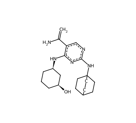 C=C(N)c1cnc(NC23CCC(CC2)CC3)nc1N[C@@H]1CCC[C@H](O)C1